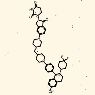 O=C1CC[C@@H](N2Cc3cc(N4CCN(CC5CCN(c6ccc([C@@H]7c8ccc(O)cc8CC[C@@H]7C7CCC(F)(F)CC7)cc6)CC5)CC4)ccc3C2=O)C(=O)N1